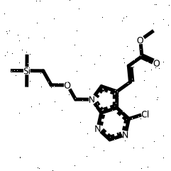 COC(=O)/C=C/c1cn(COCC[Si](C)(C)C)c2ncnc(Cl)c12